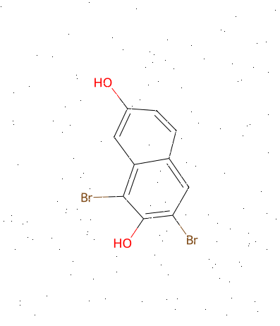 Oc1ccc2cc(Br)c(O)c(Br)c2c1